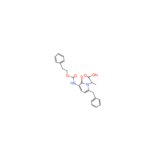 CC(C(=O)O)n1c(Cc2ccccc2)ccc(NC(=O)OCCc2ccccc2)c1=O